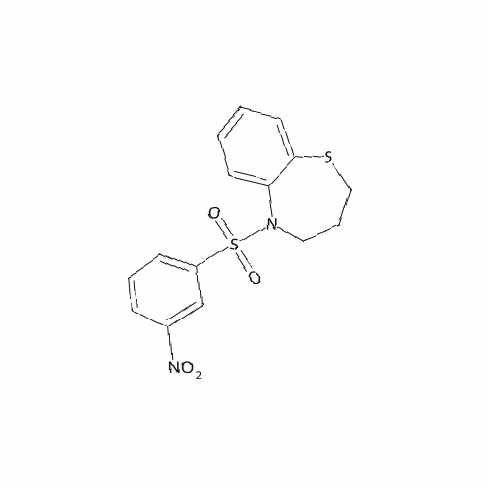 O=[N+]([O-])c1cccc(S(=O)(=O)N2CCCSc3ccccc32)c1